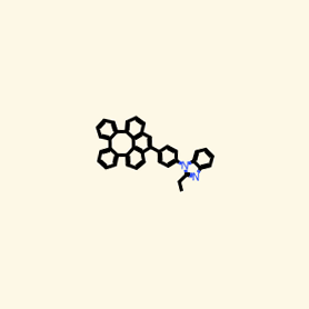 CCc1nc2ccccc2n1-c1ccc(-c2cc3cccc4c5ccccc5c5ccccc5c5cccc2c5c34)cc1